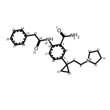 NC(=O)c1cc(C2(CCN3CCCC3)CC2)ccc1NC(=O)[CH]c1ccccc1